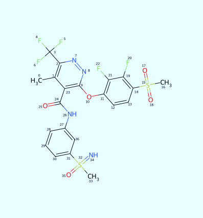 Cc1c(C(F)(F)F)nnc(Oc2ccc(S(C)(=O)=O)c(F)c2F)c1C(=O)Nc1cccc(S(C)(=N)=O)c1